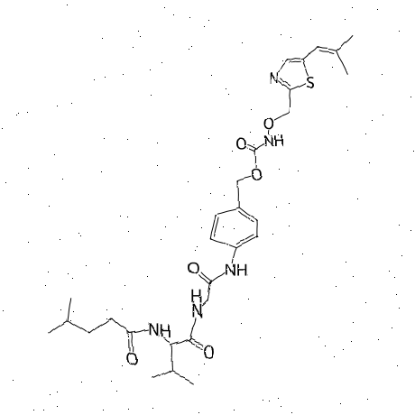 CC(C)=Cc1cnc(CONC(=O)OCc2ccc(NC(=O)CNC(=O)C(NC(=O)CCC(C)C)C(C)C)cc2)s1